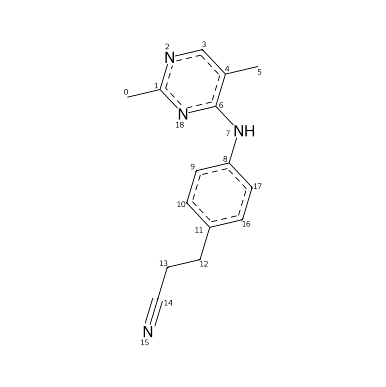 Cc1ncc(C)c(Nc2ccc(CCC#N)cc2)n1